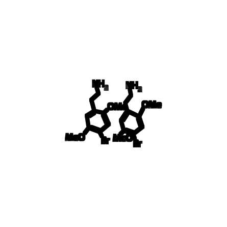 COc1cc(CCN)c(OC)cc1Br.COc1cc(CCN)c(OC)cc1Br